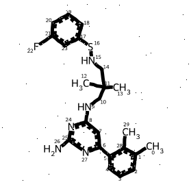 Cc1cccc(-c2cc(NCC(C)(C)CNSc3cccc(F)c3)nc(N)n2)c1C